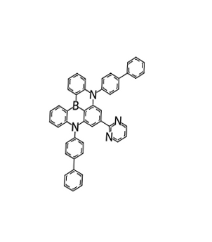 c1ccc(-c2ccc(N3c4ccccc4B4c5ccccc5N(c5ccc(-c6ccccc6)cc5)c5cc(-c6ncccn6)cc3c54)cc2)cc1